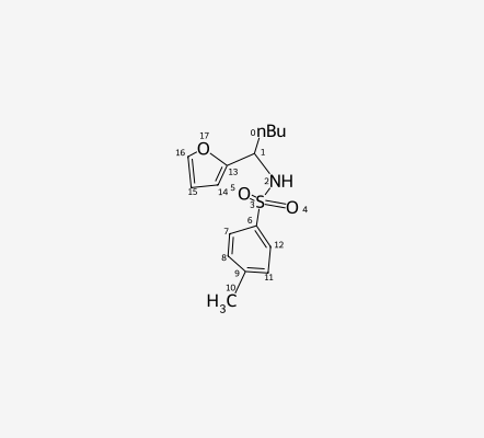 CCCCC(NS(=O)(=O)c1ccc(C)cc1)c1ccco1